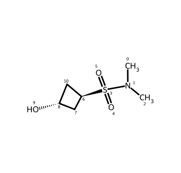 CN(C)S(=O)(=O)[C@H]1C[C@H](O)C1